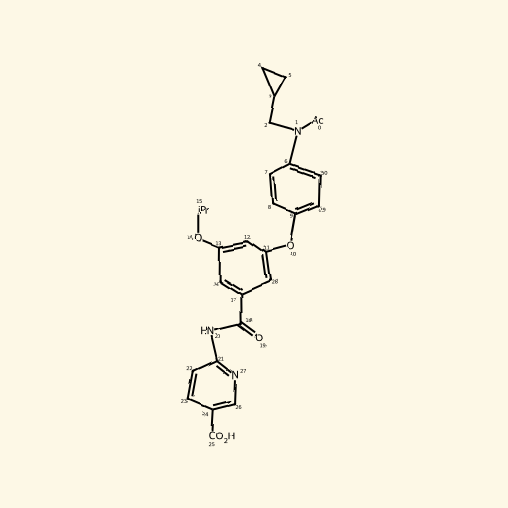 CC(=O)N(CC1CC1)c1ccc(Oc2cc(OC(C)C)cc(C(=O)Nc3ccc(C(=O)O)cn3)c2)cc1